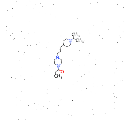 CCC(=O)N1CCN(CCCC2CCN(C(C)C)CC2)CC1